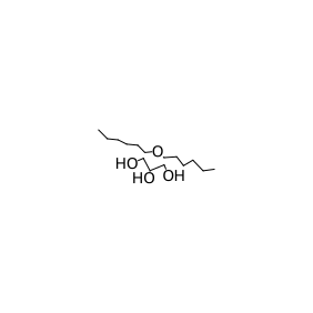 CCCCCCOCCCCCC.OCC(O)CO